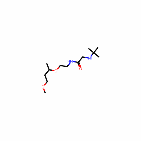 COCCC(C)OCCNC(=O)CNC(C)(C)C